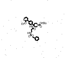 CCOc1ncccc1-c1ccc(C2(NC(=O)CCNC(=O)OCc3ccccc3)CCN(C(=O)OC(C)(C)C)CC2)cc1